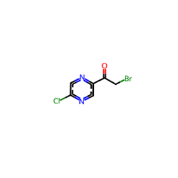 O=C(CBr)c1cnc(Cl)cn1